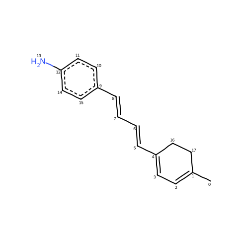 CC1=CC=C(/C=C/C=C/c2ccc(N)cc2)CC1